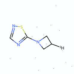 [2H]C1CN(c2ncns2)C1